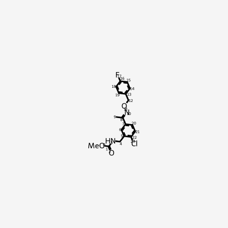 COC(=O)NCc1cc(/C(C)=N/OCc2ccc(F)cc2)ccc1Cl